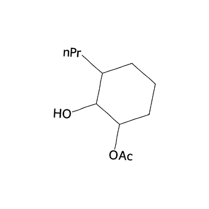 CCCC1CCCC(OC(C)=O)C1O